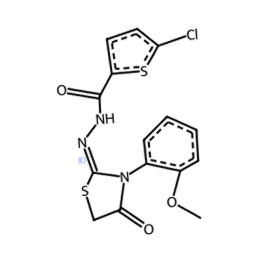 COc1ccccc1N1C(=O)CS/C1=N/NC(=O)c1ccc(Cl)s1